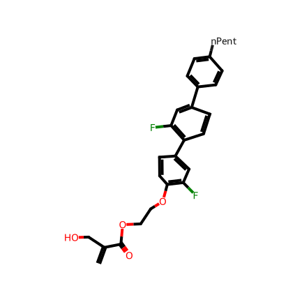 C=C(CO)C(=O)OCCOc1ccc(-c2ccc(-c3ccc(CCCCC)cc3)cc2F)cc1F